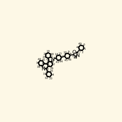 c1ccc(-c2nnc(-c3ccc(-c4ccc(-n5c6ccccc6c6c7c(ccc65)c(-c5ccccc5)nc5ccccc57)cc4)cc3)o2)cc1